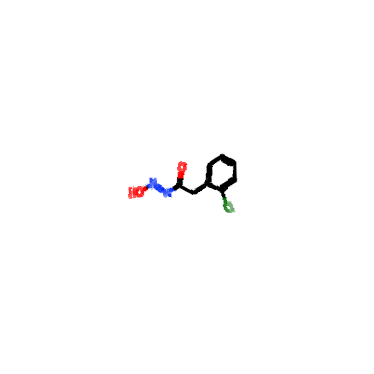 O=C(Cc1ccccc1Cl)N=NO